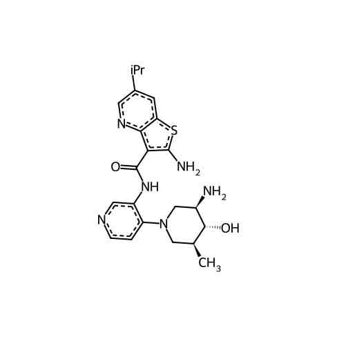 CC(C)c1cnc2c(C(=O)Nc3cnccc3N3C[C@@H](N)[C@H](O)[C@@H](C)C3)c(N)sc2c1